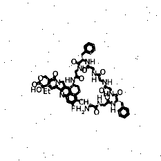 CC[C@@]1(O)C(=O)OCc2c1cc1n(c2=O)Cc2c-1nc1cc(F)c(C)c3c1c2[C@@H](NC(=O)CNC(=O)[C@H](Cc1ccccc1)NC(=O)CNC(=O)CNC(=O)CNC(=O)[C@H](Cc1ccccc1)NC(=O)CNC(=O)CN)CC3